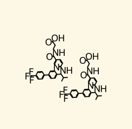 CC(C)C(Nc1ccc(C(=O)NCCC(=O)O)cn1)c1ccc(-c2ccc(C(F)(F)F)cc2)cc1.CC(C)C(Nc1ccc(C(=O)NCCC(=O)O)cn1)c1ccc(-c2ccc(C(F)(F)F)cc2)cc1